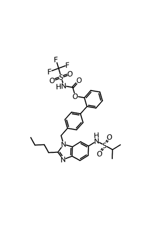 CCCCc1nc2ccc(NS(=O)(=O)C(C)C)cc2n1Cc1ccc(-c2ccccc2OC(=O)NS(=O)(=O)C(F)(F)F)cc1